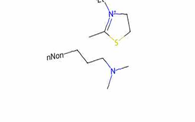 CCCCCCCCCCCCN(C)C.C[CH][N+]1=C(C)SCC1